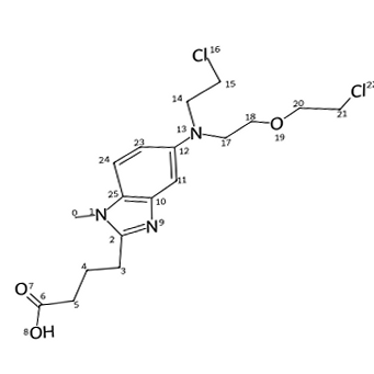 Cn1c(CCCC(=O)O)nc2cc(N(CCCl)CCOCCCl)ccc21